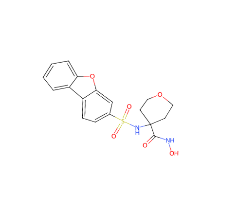 O=C(NO)C1(NS(=O)(=O)c2ccc3c(c2)oc2ccccc23)CCOCC1